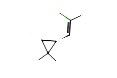 C/C(Cl)=C/[C@@H]1[C@@H](C(C)C)C1(C)C